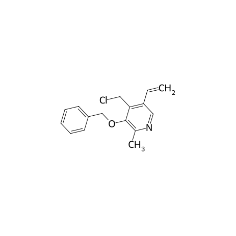 C=Cc1cnc(C)c(OCc2ccccc2)c1CCl